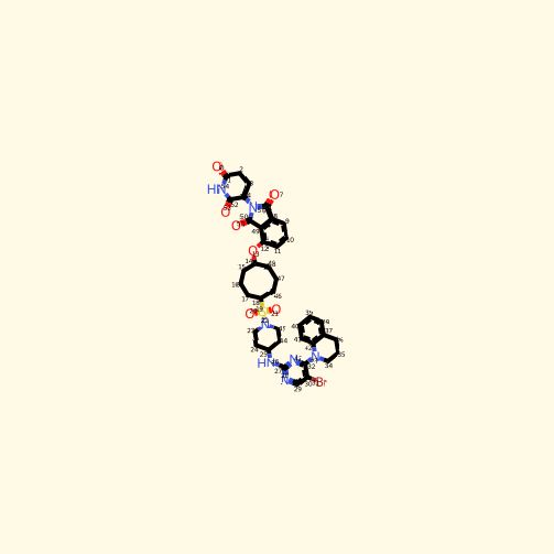 O=C1CCC(N2C(=O)c3cccc(OC4CCCC(S(=O)(=O)N5CCC(Nc6ncc(Br)c(N7CCCc8ccccc87)n6)CC5)CCC4)c3C2=O)C(=O)N1